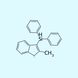 CC1=C([SiH](c2ccccc2)c2ccccc2)c2ccccc2[CH]1